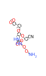 Cc1cc(OCc2cccc(-c3ccc4c(c3)OCCO4)c2C)cc(OCc2cccc(C#N)c2)c1CN[C@H](CO)C(=O)NCCOCCOCCN